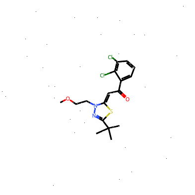 COCCN1N=C(C(C)(C)C)SC1=CC(=O)c1cccc(Cl)c1Cl